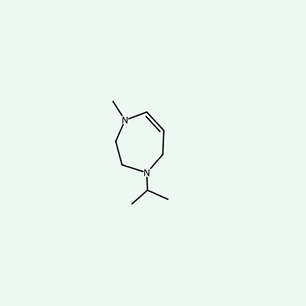 CC(C)N1CC=CN(C)CC1